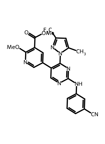 COC(=O)c1cc(-c2cnc(Nc3cccc(C#N)c3)nc2-n2nc(C(F)(F)F)cc2C)cnc1OC